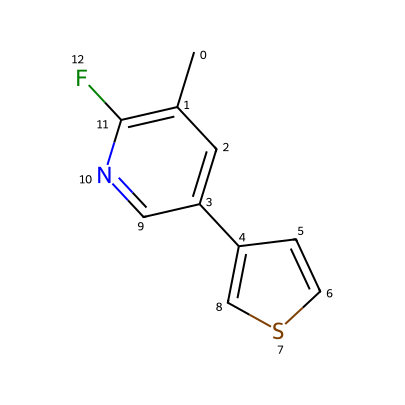 Cc1cc(-c2ccsc2)cnc1F